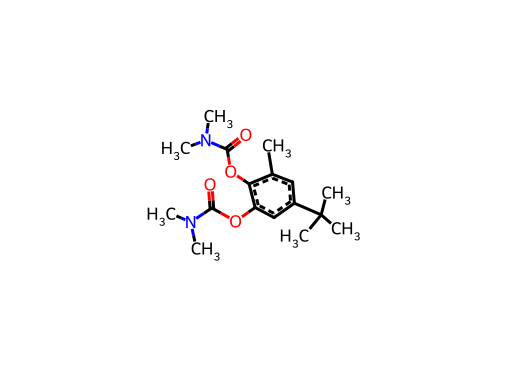 Cc1cc(C(C)(C)C)cc(OC(=O)N(C)C)c1OC(=O)N(C)C